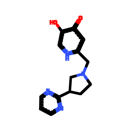 O=c1cc(CN2CCC(c3ncccn3)C2)[nH]cc1O